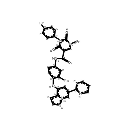 CC(C)n1cc(C(=O)Nc2ccc(Oc3cc(-c4ncccn4)cn4nccc34)c(F)c2)c(=O)n(-c2ccc(F)cc2)c1=O